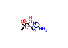 C#C[C@]1(CO)O[C@@H](c2cnc3c(N)ncnn23)C(O)C1O